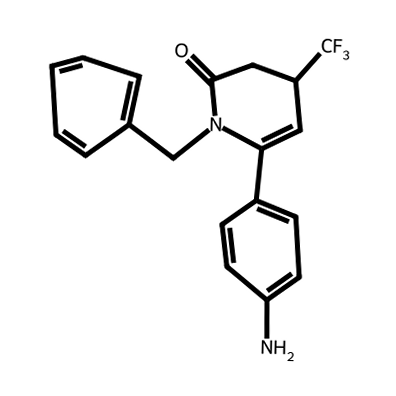 Nc1ccc(C2=CC(C(F)(F)F)CC(=O)N2Cc2ccccc2)cc1